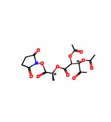 CC(=O)OC(C(=O)O[C@@H](C)C(=O)ON1C(=O)CCC1=O)[C@@H](OC(C)=O)C(C)=O